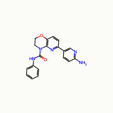 Nc1ccc(-c2ccc3c(n2)N(C(=O)Nc2ccccc2)CCO3)cn1